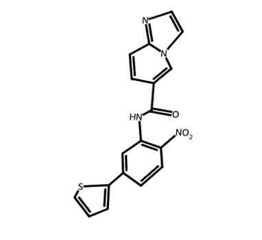 O=C(Nc1cc(-c2cccs2)ccc1[N+](=O)[O-])c1ccc2nccn2c1